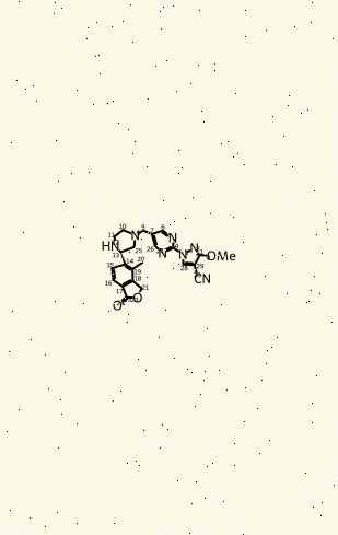 COc1nn(-c2ncc(CN3CCN[C@H](c4ccc5c(c4C)COC5=O)C3)cn2)cc1C#N